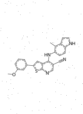 COc1cccc(-c2cc3c(Nc4ccc5[nH]ccc5c4C)c(C#N)cnc3s2)c1